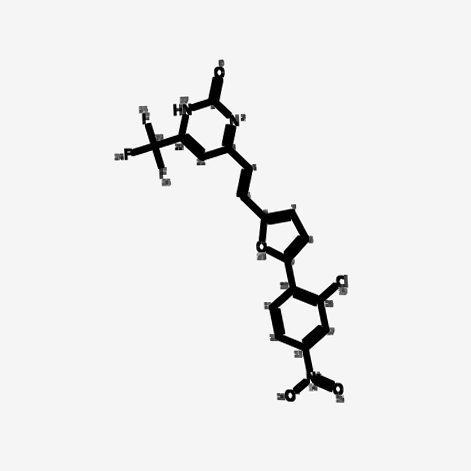 O=c1nc(/C=C/c2ccc(-c3ccc([N+](=O)[O-])cc3Cl)o2)cc(C(F)(F)F)[nH]1